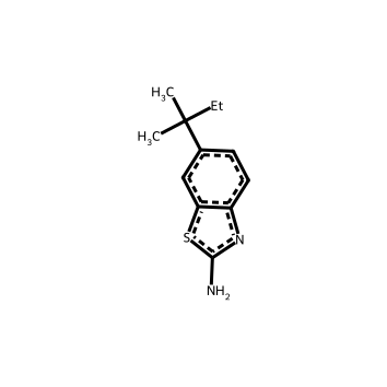 CCC(C)(C)c1ccc2nc(N)sc2c1